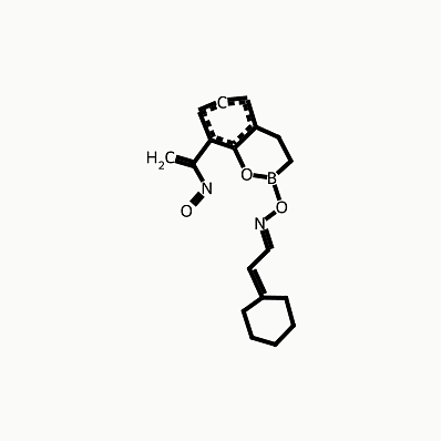 C=C(N=O)c1cccc2c1OB(ON=CC=C1CCCCC1)CC2